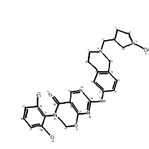 CN1CCC(CN2CCc3cc(Nc4ncc5c(n4)OCN(c4c(Cl)cccc4Cl)C5=O)ccc3C2)C1